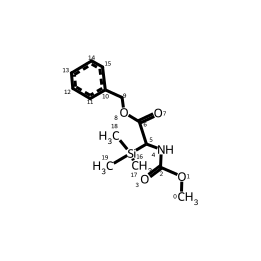 COC(=O)NC(C(=O)OCc1ccccc1)[Si](C)(C)C